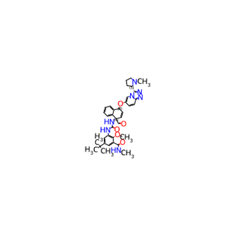 CNC(=O)c1cc(C(C)(C)C)cc(NC(=O)N[C@@]2(C=O)C=C[C@@H](Oc3ccc4nnc([C@@H]5CCCN5C)n4c3)c3ccccc32)c1OC